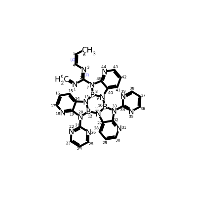 C=N/C(=N\C=C/C)N1B2N(B3N(B4N2c2cccnc2N4c2ncccn2)c2cccnc2N3c2ncccn2)c2cccnc21